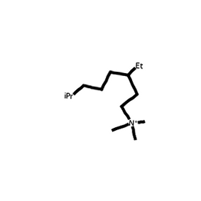 CCC(CCCC(C)C)CC[N+](C)(C)C